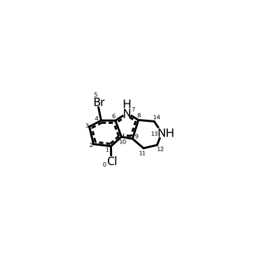 Clc1ccc(Br)c2[nH]c3c(c12)CCNC3